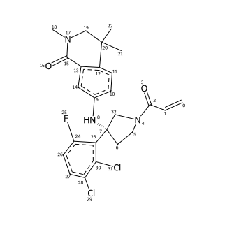 C=CC(=O)N1CC[C@@](Nc2ccc3c(c2)C(=O)N(C)CC3(C)C)(c2c(F)ccc(Cl)c2Cl)C1